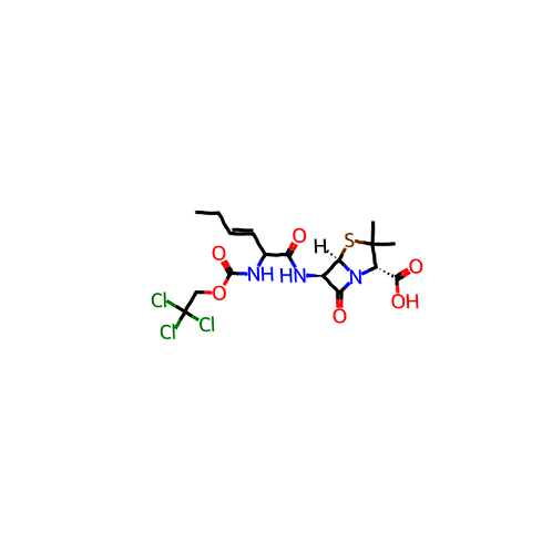 CC/C=C/C(NC(=O)OCC(Cl)(Cl)Cl)C(=O)N[C@@H]1C(=O)N2[C@@H]1SC(C)(C)[C@@H]2C(=O)O